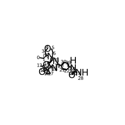 CC[C@H]1COCCN1c1cc(C2(S(C)(=O)=O)CC2)nc(-c2ccc(NC(=O)NC)cc2)n1